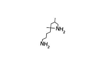 CC(CN)CC(C)(C)CCCCN